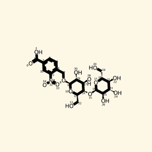 O=C(O)c1ccc(CO[C@@H]2O[C@H](CO)[C@@H](O[C@H]3O[C@H](CO)[C@@H](O)[C@H](O)[C@H]3O)[C@H](O)[C@H]2O)c([N+](=O)[O-])c1